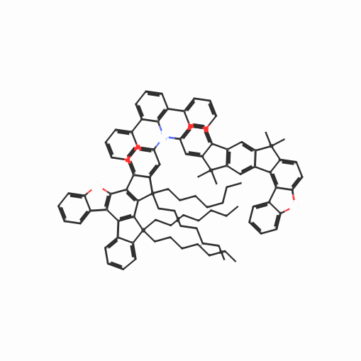 CCCCCCCC1(CCCCCCC)c2cc(N(c3ccc4c(c3)C(C)(C)c3cc5c(cc3-4)C(C)(C)c3ccc4oc6ccccc6c4c3-5)c3c(-c4ccccc4)cccc3-c3ccccc3)ccc2-c2c1c1c(c3c2oc2ccccc23)-c2ccccc2C1(CCCCCCC)CCCCCCC